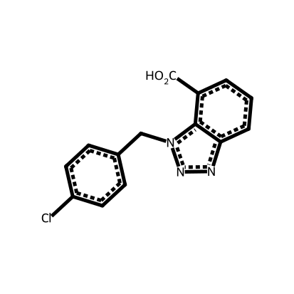 O=C(O)c1cccc2nnn(Cc3ccc(Cl)cc3)c12